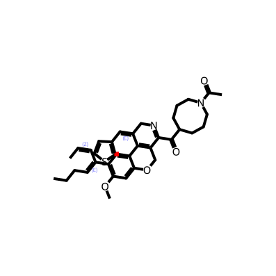 C/C=C\C(=C/CCC)c1cc2c(cc1OC)OCC1=C2/C(=C\c2ccsc2)CN=C1C(=O)C1CCCN(C(C)=O)CCC1